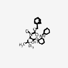 C1CCC(NC2CCCCC2)CC1.CC(C)C[C@@H](C(=O)O)N(Cl)C(=O)OCc1ccccc1